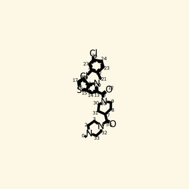 CN1CCN(C(=O)C2CCN(C(=O)c3cc4sccc4n3Cc3ccc(Cl)cc3Cl)CC2)CC1